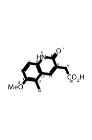 COc1ccc2[nH]c(=O)c(CC(=O)O)cc2c1C